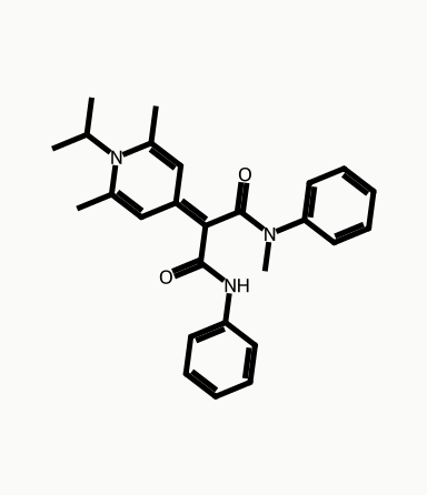 CC1=CC(=C(C(=O)Nc2ccccc2)C(=O)N(C)c2ccccc2)C=C(C)N1C(C)C